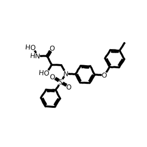 Cc1ccc(Oc2ccc(N(CC(O)C(=O)NO)S(=O)(=O)c3ccccc3)cc2)cc1